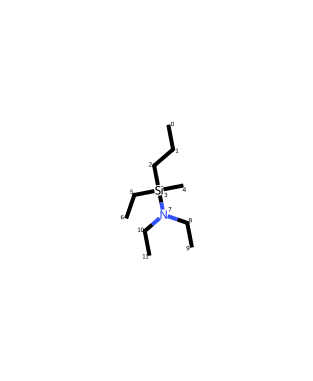 CCC[Si](C)(CC)N(CC)CC